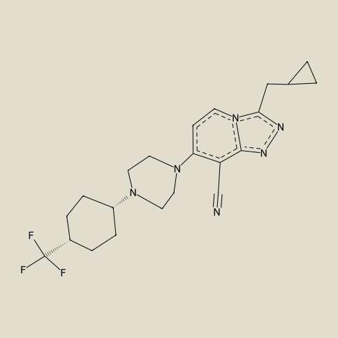 N#Cc1c(N2CCN([C@H]3CC[C@@H](C(F)(F)F)CC3)CC2)ccn2c(CC3CC3)nnc12